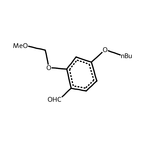 CCCCOc1ccc(C=O)c(OCOC)c1